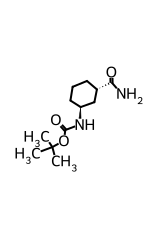 CC(C)(C)OC(=O)N[C@H]1CCC[C@H](C(N)=O)C1